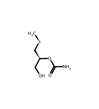 CSC[C@H](CO)OC(N)=O